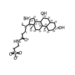 C[C@H](CCC(=O)NCCS(=O)(=O)[O-])C1CCC2C3C(CC[C@@]21C)[C@@]1(C)CC[C@@H](O)CC1C[C@H]3O.[Na+]